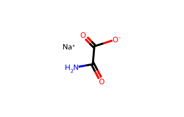 NC(=O)C(=O)[O-].[Na+]